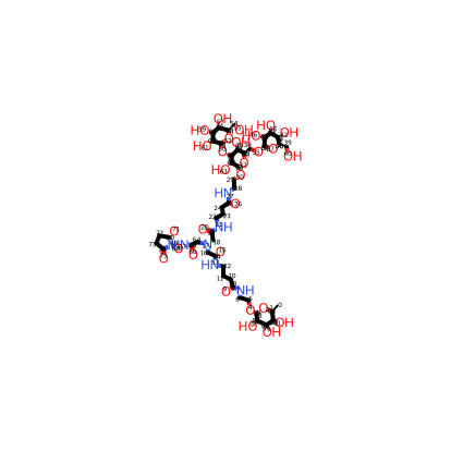 C[C@@H]1O[C@@H](OCCNC(=O)CCCNC(=O)CN(CC(=O)NCCCC(=O)NCCO[C@H]2O[C@H](CO[C@H]3O[C@H](CO)[C@@H](O)[C@H](O)[C@@H]3O)[C@@H](O)[C@H](O[C@H]3O[C@H](CO)[C@@H](O)[C@H](O)[C@@H]3O)[C@@H]2O)CC(=O)NON2C(=O)CCC2=O)[C@@H](O)[C@H](O)[C@@H]1O